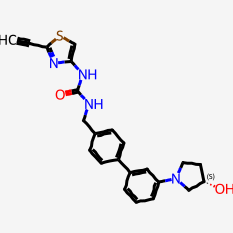 C#Cc1nc(NC(=O)NCc2ccc(-c3cccc(N4CC[C@H](O)C4)c3)cc2)cs1